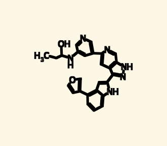 CCC(O)Nc1cncc(-c2cc3c(-c4cc5c(-c6ccoc6)cccc5[nH]4)n[nH]c3cn2)c1